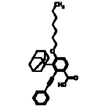 CCCCCCCOc1ccc(C(=O)O)c(C#Cc2ccccc2)c1C12CC3CC(CC(C3)C1)C2